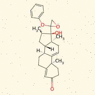 C[C@@H]1C[C@H]2[C@@H]3CCC4=CC(=O)CC[C@]4(C)C3=CC[C@]2(C)[C@@]1(O)C1(Oc2ccccc2)CO1